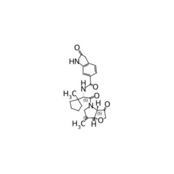 C[C@H]1CN(C(=O)[C@@H](NC(=O)c2ccc3c(c2)NC(=O)C3)C2(C)CCCC2)[C@@H]2C(=O)CO[C@@H]21